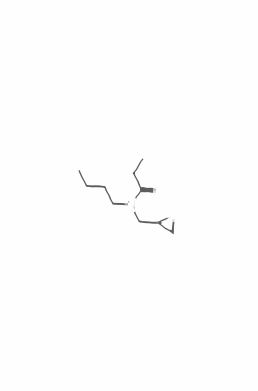 CCCCN(CC1CO1)C(=O)CC